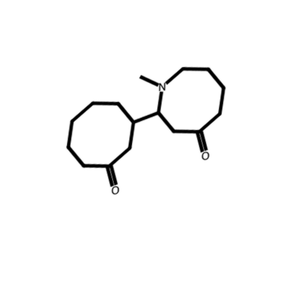 CN1CCCCC(=O)CC1C1CCCCCC(=O)C1